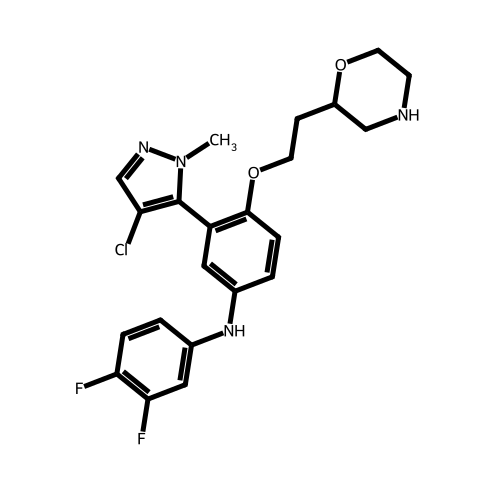 Cn1ncc(Cl)c1-c1cc(Nc2ccc(F)c(F)c2)ccc1OCCC1CNCCO1